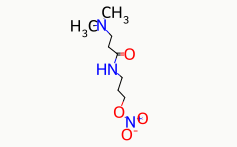 CN(C)CCC(=O)NCCCO[N+](=O)[O-]